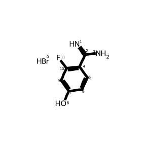 Br.N=C(N)c1ccc(O)cc1F